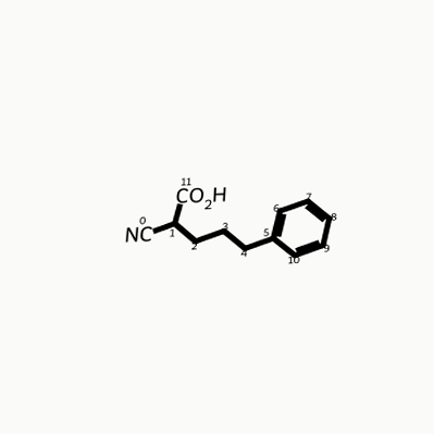 N#CC(CCCc1ccccc1)C(=O)O